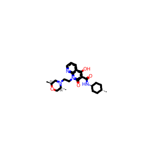 C[C@@H]1CO[C@@H](C)CN1CCn1c(=O)c(C(=O)N[C@H]2CC[C@@H](C)CC2)c(O)c2cccnc21